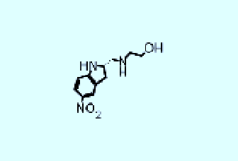 O=[N+]([O-])c1ccc2c(c1)C[C@@H](CNCCO)N2